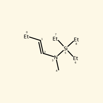 CC/C=C/N(C)[Si](CC)(CC)CC